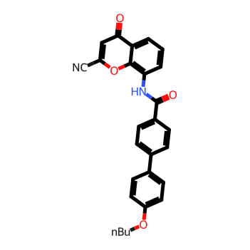 CCCCOc1ccc(-c2ccc(C(=O)Nc3cccc4c(=O)cc(C#N)oc34)cc2)cc1